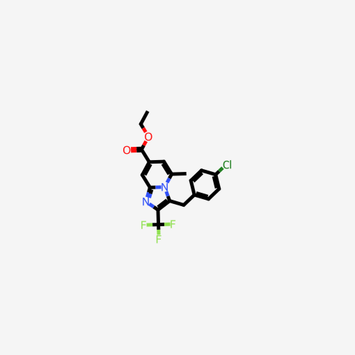 CCOC(=O)c1cc(C)n2c(Cc3ccc(Cl)cc3)c(C(F)(F)F)nc2c1